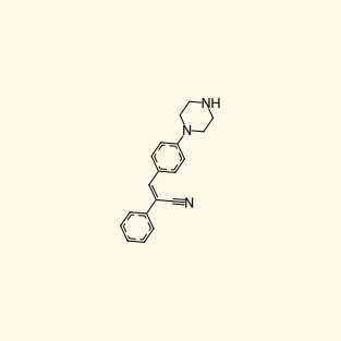 N#C/C(=C\c1ccc(N2CCNCC2)cc1)c1ccccc1